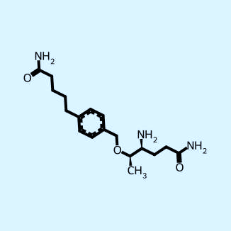 C[C@@H](OCc1ccc(CCCCC(N)=O)cc1)[C@@H](N)CCC(N)=O